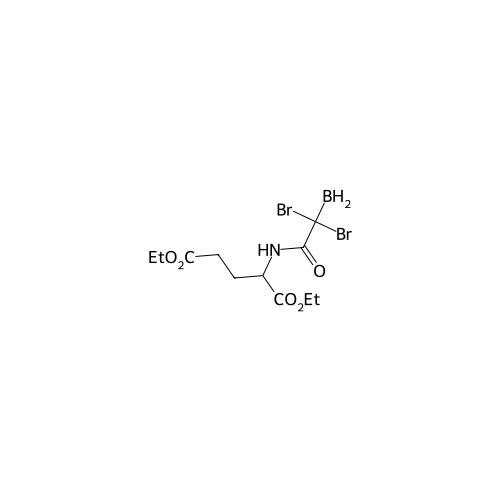 BC(Br)(Br)C(=O)NC(CCC(=O)OCC)C(=O)OCC